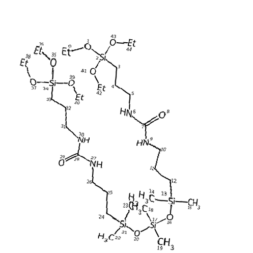 CCO[Si](CCCNC(=O)NCCC[Si](C)(C)O[Si](C)(C)O[Si](C)(C)CCCNC(=O)NCCC[Si](OCC)(OCC)OCC)(OCC)OCC